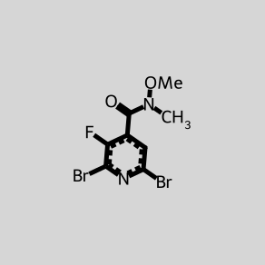 CON(C)C(=O)c1cc(Br)nc(Br)c1F